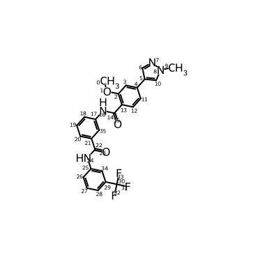 COc1cc(-c2cnn(C)c2)ccc1C(=O)Nc1cccc(C(=O)Nc2cccc(C(F)(F)F)c2)c1